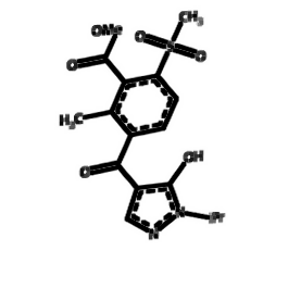 COC(=O)c1c(S(C)(=O)=O)ccc(C(=O)c2cnn(C(C)C)c2O)c1C